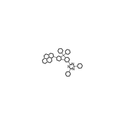 c1ccc(-c2nc(-c3ccccc3)nc(-c3ccc4c(c3)-c3ccc(-c5ccc6ccc7cccc8ccc5c6c78)cc3C4(c3ccccc3)c3ccccc3)n2)cc1